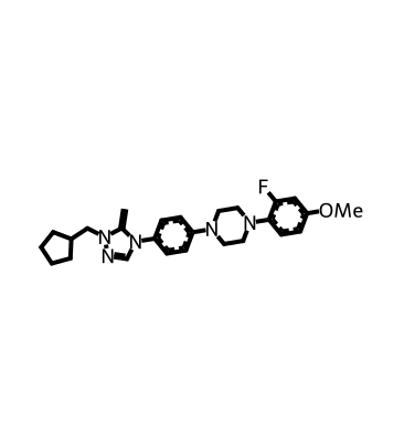 C=C1N(CC2CCCC2)N=CN1c1ccc(N2CCN(c3ccc(OC)cc3F)CC2)cc1